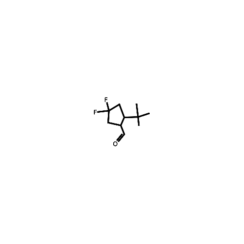 CC(C)(C)C1CC(F)(F)CC1C=O